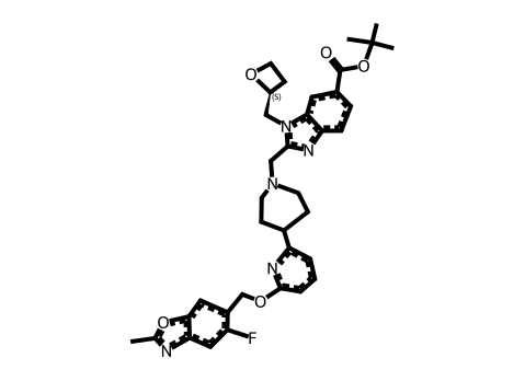 Cc1nc2cc(F)c(COc3cccc(C4CCN(Cc5nc6ccc(C(=O)OC(C)(C)C)cc6n5C[C@@H]5CCO5)CC4)n3)cc2o1